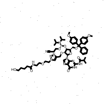 COc1ccc(C(OC[C@H]2O[C@@H](n3cnc4c(=O)[nH]c(NC(=O)C(C)C)nc43)[C@H](OCc3cn(CCOCCNC(=O)CCCCO)nn3)[C@@H]2OP(OCCC#N)N(C(C)C)C(C)C)(c2ccccc2)c2ccc(OC)cc2)cc1